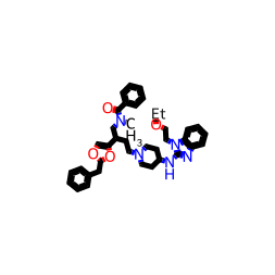 CCOCCn1c(NC2CCN(CCC(CN(C)C(=O)c3ccccc3)C3=COC(Cc4ccccc4)O3)CC2)nc2ccccc21